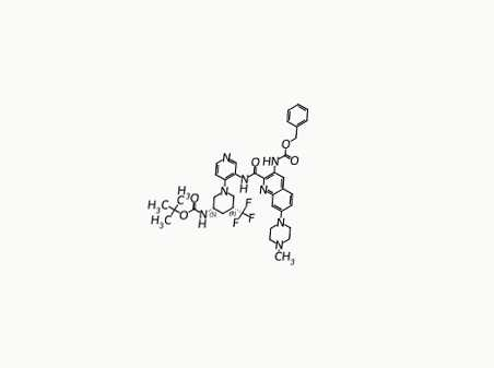 CN1CCN(c2ccc3cc(NC(=O)OCc4ccccc4)c(C(=O)Nc4cnccc4N4C[C@@H](NC(=O)OC(C)(C)C)C[C@@H](C(F)(F)F)C4)nc3c2)CC1